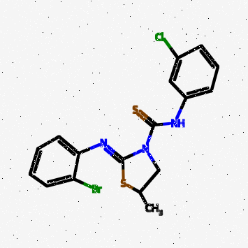 CC1CN(C(=S)Nc2cccc(Cl)c2)C(=Nc2ccccc2Br)S1